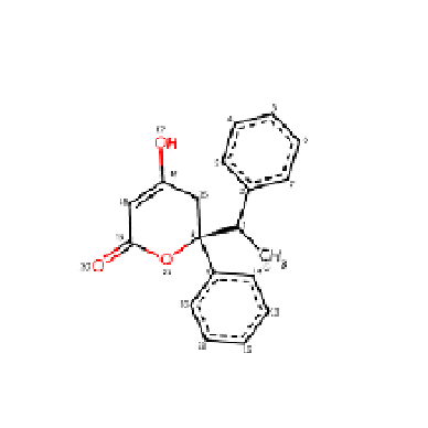 CC(c1ccccc1)[C@]1(c2ccccc2)CC(O)=CC(=O)O1